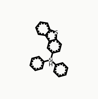 c1ccc([SiH](c2ccccc2)c2ccc3sc4ccccc4c3c2)cc1